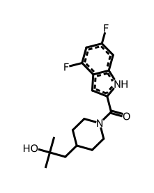 CC(C)(O)CC1CCN(C(=O)c2cc3c(F)cc(F)cc3[nH]2)CC1